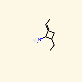 C/C=C1\CC(CC)C1N